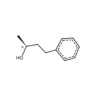 C[C@H](O)CCc1ccccc1